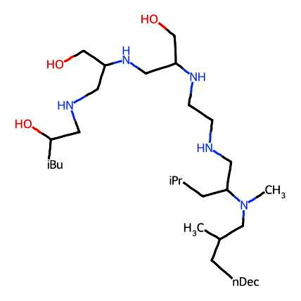 CCCCCCCCCCCC(C)CN(C)C(CNCCNC(CO)CNC(CO)CNCC(O)C(C)CC)CC(C)C